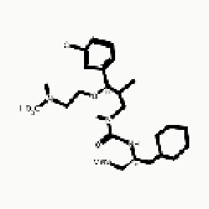 CNC[C@H](CC1CCCCC1)NC(=O)N(C)CC(C)[C@@H](OCCN(C)C(=O)O)c1cccc(Cl)c1